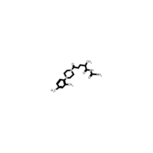 Cc1ccc(N2CCN(C(=O)CCC(C)C(=O)NC(N)=O)CC2)c(C)c1